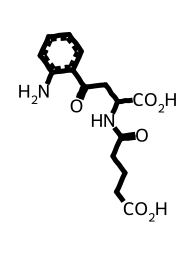 Nc1ccccc1C(=O)CC(NC(=O)CCCC(=O)O)C(=O)O